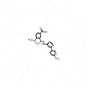 COc1ccc(C(=O)O)cc1C(C)CNc1cc(-c2ccc(C)nc2)ncn1